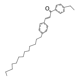 CCCCCCCCCCCCCc1ccc(C=CC(=O)c2ccc(CC)cc2)cc1